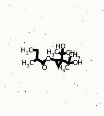 CCC(C)C(=O)OC1CC1(C(C)(C)O)C(C)(C)O